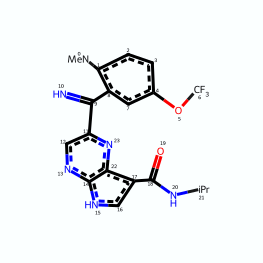 CNc1ccc(OC(F)(F)F)cc1C(=N)c1cnc2[nH]cc(C(=O)NC(C)C)c2n1